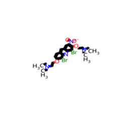 CCN(CC)CCOc1ccc2cc3cc([N+](=O)[O-])c(OCCN(CC)CC)c(Br)c3nc2c1Br